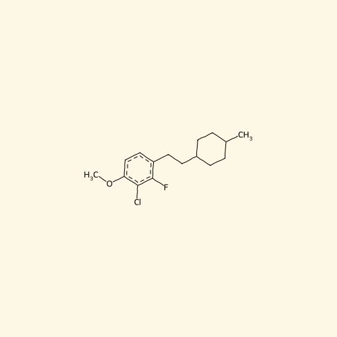 COc1ccc(CCC2CCC(C)CC2)c(F)c1Cl